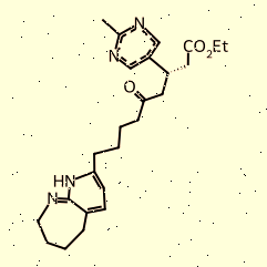 CCOC(=O)C[C@H](CC(=O)CCCCC1=CC=C2CCCCN=C2N1)c1cnc(C)nc1